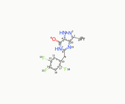 CC(C)c1n[nH]c2c(=O)[nH]c(Cc3cc(F)c(F)cc3F)nc12